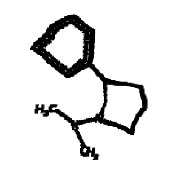 CN(C)N1CCCC1c1ccccc1